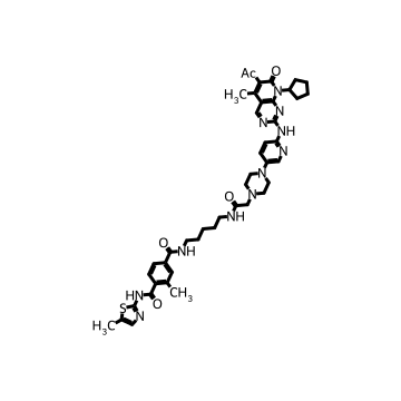 CC(=O)c1c(C)c2cnc(Nc3ccc(N4CCN(CC(=O)NCCCCCNC(=O)c5ccc(C(=O)Nc6ncc(C)s6)c(C)c5)CC4)cn3)nc2n(C2CCCC2)c1=O